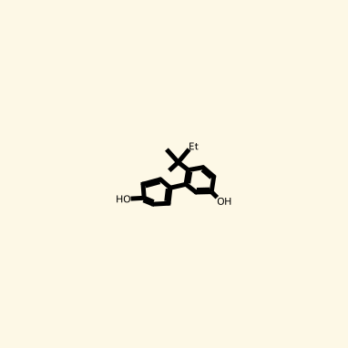 CCC(C)(C)c1ccc(O)cc1-c1ccc(O)cc1